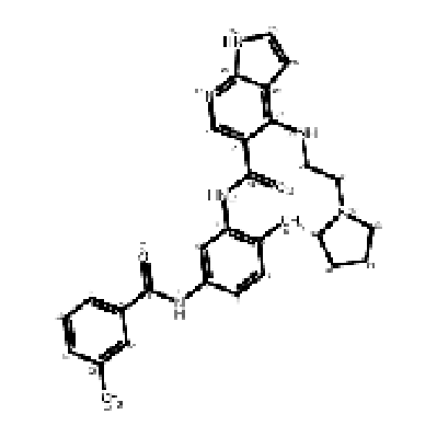 Cc1ccc(NC(=O)c2cccc(C(F)(F)F)c2)cc1NC(=O)c1cnc2[nH]ccc2c1NCCN1CCCC1